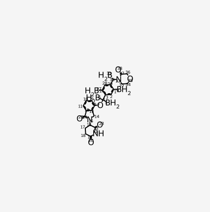 Bc1cc(C(B)(B)Oc2cccc3c2CN(C2CCC(=O)NC2=O)C3=O)c(B)cc1C(B)N1CCOCC1=O